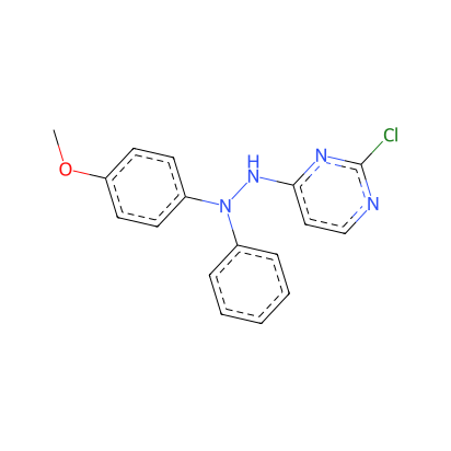 COc1ccc(N(Nc2ccnc(Cl)n2)c2ccccc2)cc1